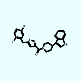 O=C(c1cc(Cc2cc(F)ccc2F)on1)N1CCC(c2c[nH]c3ccccc23)CC1